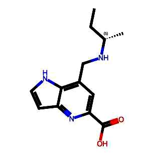 CC[C@H](C)NCc1cc(C(=O)O)nc2cc[nH]c12